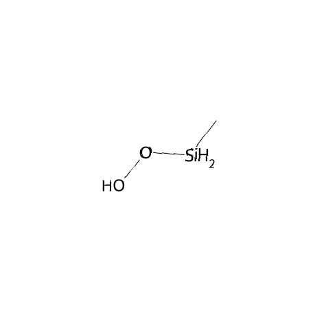 C[SiH2]OO